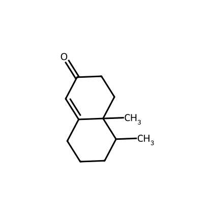 CC1CCCC2=CC(=O)CCC21C